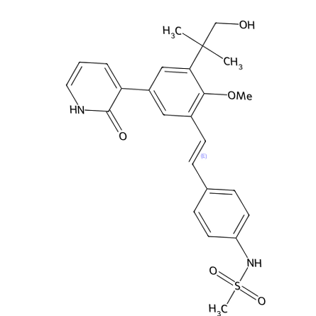 COc1c(/C=C/c2ccc(NS(C)(=O)=O)cc2)cc(-c2ccc[nH]c2=O)cc1C(C)(C)CO